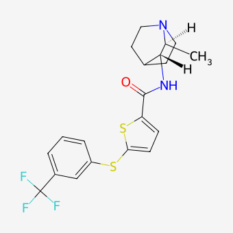 C[C@H]1[C@H](NC(=O)c2ccc(Sc3cccc(C(F)(F)F)c3)s2)C2CCN1CC2